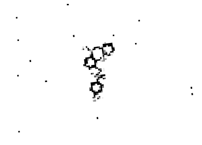 COc1ccc(S(=O)(=O)Nc2cccc3c2Nc2ccccc2CN3C(C)=O)cc1